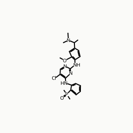 COc1cc(C(C)N(C)C)ccc1Nc1ncc(Cl)c(Nc2ccccc2P(C)(C)=O)n1